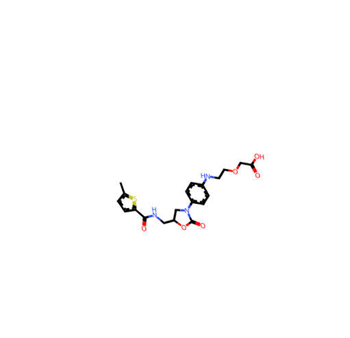 Cc1ccc(C(=O)NCC2CN(c3ccc(NCCOCC(=O)O)cc3)C(=O)O2)s1